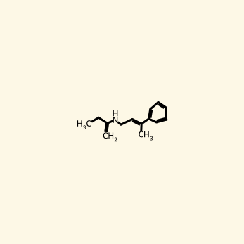 C=C(CC)NC/C=C(\C)c1ccccc1